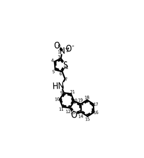 O=[N+]([O-])c1ccc(CNc2ccc3oc4ccccc4c3c2)s1